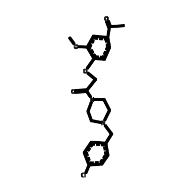 COc1cc(C(C)=O)ccc1OCC(=O)N1CCN(Cc2ccc(Cl)cc2)CC1